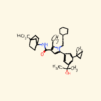 Cc1c(C(=O)NC23CCC(C(=O)O)(CC2)C3)cc(-c2cc(C(C)(C)O)cc(C3(C)CC3)c2)n1CC1CCCCC1